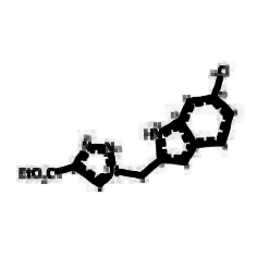 CCOC(=O)c1cn(Cc2cc3ccc(Cl)cc3[nH]2)nn1